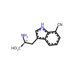 N#Cc1cccc2c(C[C@H](N)C(=O)O)c[nH]c12